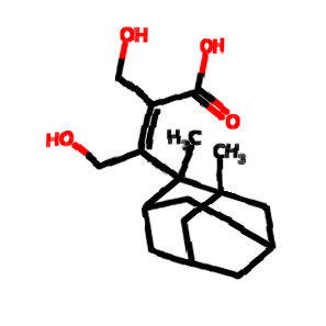 CC12CC3CC(CC(C3)C1(C)C(CO)=C(CO)C(=O)O)C2